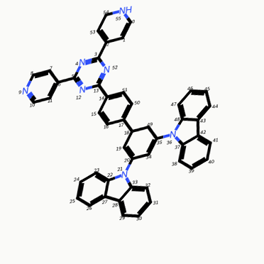 C1=CC(c2nc(-c3ccncc3)nc(-c3ccc(C4C=C(n5c6ccccc6c6ccccc65)C=C(n5c6ccccc6c6ccccc65)C4)cc3)n2)=CCN1